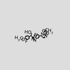 COc1ccc(C(CO)c2nnc3cc(-c4ccnc(S(C)(=O)=O)n4)cnn23)cc1F